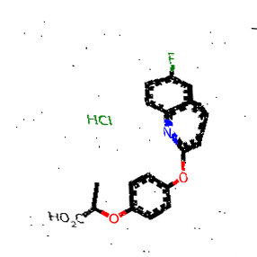 CC(Oc1ccc(Oc2ccc3cc(F)ccc3n2)cc1)C(=O)O.Cl